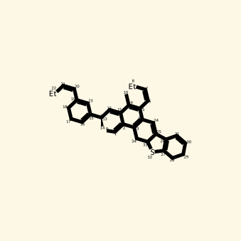 C/C=c1/c2c(c(/C=C\CC)c(C)/c1=C/[C@@H](C)C1=CCCC(/C=C\CC)=C1)C=C1C3=C(CCC=C3)SC1C2